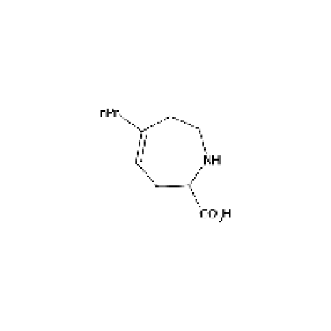 CCCC1=CCC(C(=O)O)NCC1